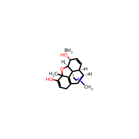 B.CN1CC[C@]23C4=C5CC=C(O)C4(C)O[C@H]2[C@@H](O)C=C[C@H]3[C@H]1C5